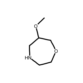 COC1CNCCOC1